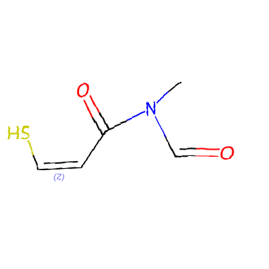 CN(C=O)C(=O)/C=C\S